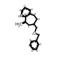 C=C1CC(COCc2ccccc2)CCc2cccnc21